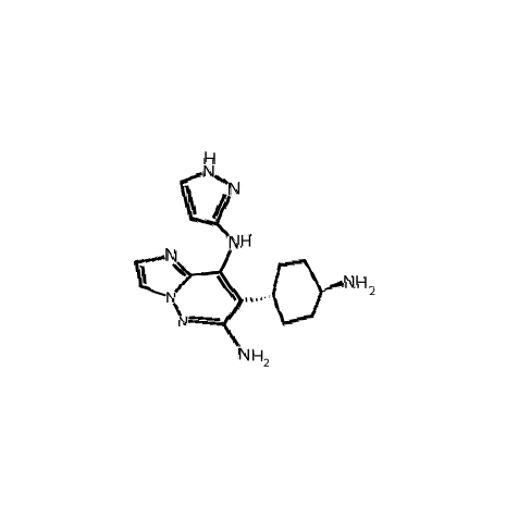 Nc1nn2ccnc2c(Nc2cc[nH]n2)c1[C@H]1CC[C@H](N)CC1